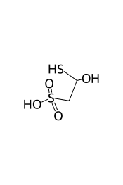 O=S(=O)(O)CC(O)S